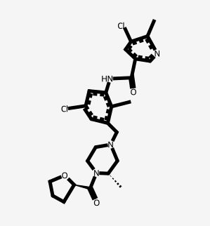 Cc1ncc(C(=O)Nc2cc(Cl)cc(CN3CCN(C(=O)[C@H]4CCCO4)[C@@H](C)C3)c2C)cc1Cl